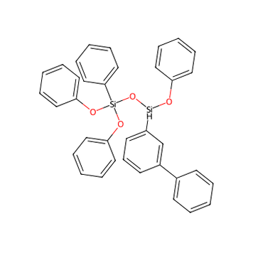 c1ccc(O[SiH](O[Si](Oc2ccccc2)(Oc2ccccc2)c2ccccc2)c2cccc(-c3ccccc3)c2)cc1